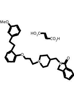 COc1cccc(CCc2ccccc2OCCCN2CCC(CN3Cc4ccccc4C3=O)CC2)c1.O=C(O)/C=C/C(=O)O